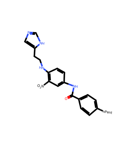 CCCCCc1ccc(C(=O)Nc2ccc(NCCc3cnc[nH]3)c([N+](=O)[O-])c2)cc1